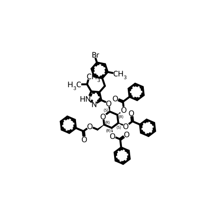 Cc1cc(Br)ccc1Cc1c(O[C@@H]2O[C@H](COC(=O)c3ccccc3)[C@@H](OC(=O)c3ccccc3)[C@H](OC(=O)c3ccccc3)[C@H]2OC(=O)c2ccccc2)n[nH]c1C(C)C